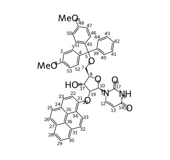 COc1ccc(C(OC[C@H]2O[C@@H](n3ccc(=O)[nH]c3=O)C(Oc3ccc4ccc5cccc6ccc3c4c56)C2O)(c2ccccc2)c2ccc(OC)cc2)cc1